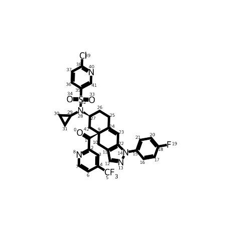 O=C(c1cc(C(F)(F)F)ccn1)[C@]12Cc3cnn(-c4ccc(F)cc4)c3C=C1CC[C@H](N(C1CC1)S(=O)(=O)c1ccc(Cl)nc1)C2